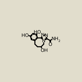 NC(=O)c1nnc2n1CC(O)CCc1cc(O)cc(O)c1-2